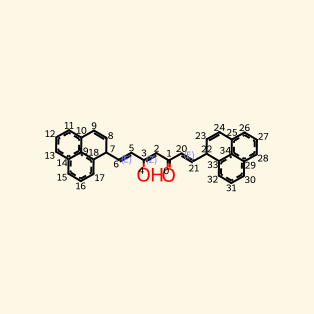 O=C(/C=C(O)/C=C/C1C=Cc2cccc3cccc1c23)/C=C/C1C=Cc2cccc3cccc1c23